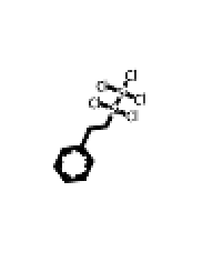 Cl[Si](Cl)(Cl)[Si](Cl)(Cl)CCc1ccccc1